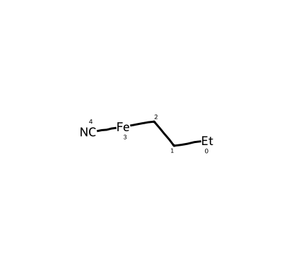 CCC[CH2][Fe][C]#N